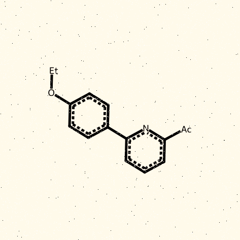 CCOc1ccc(-c2cccc(C(C)=O)n2)cc1